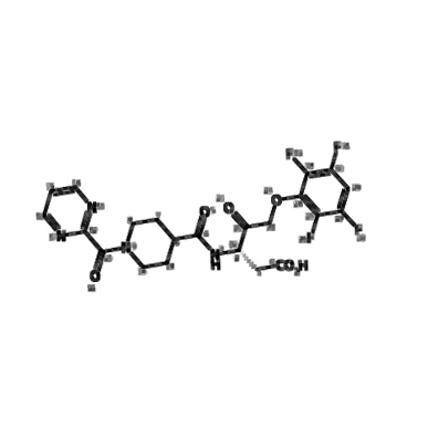 O=C(O)C[C@H](NC(=O)C1CCN(C(=O)c2ncccn2)CC1)C(=O)COc1c(F)c(F)cc(F)c1F